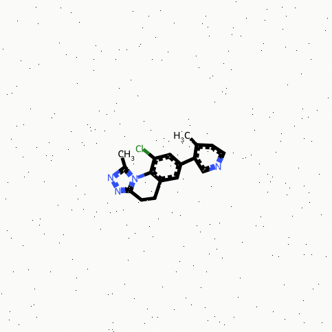 Cc1ccncc1-c1cc(Cl)c2c(c1)CCc1nnc(C)n1-2